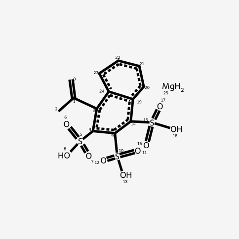 C=C(C)c1c(S(=O)(=O)O)c(S(=O)(=O)O)c(S(=O)(=O)O)c2ccccc12.[MgH2]